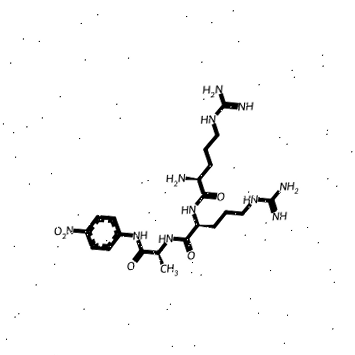 C[C@H](NC(=O)[C@H](CCCNC(=N)N)NC(=O)[C@@H](N)CCCNC(=N)N)C(=O)Nc1ccc([N+](=O)[O-])cc1